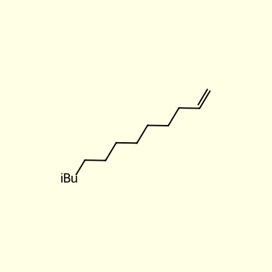 C=CCCCCCCCC(C)[CH]C